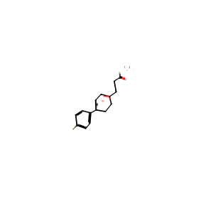 COC(=O)CCC12CCC(c3ccc(Br)cc3)(CC1)CO2